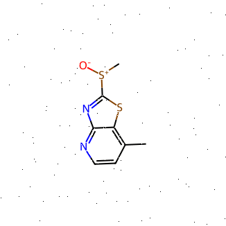 Cc1ccnc2nc([S+](C)[O-])sc12